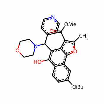 COC(=O)c1c(C)oc2c1c(C(c1ccncc1)N1CCOCC1)c(O)c1ccc(OCC(C)C)cc12